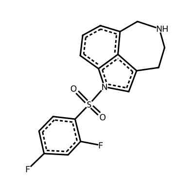 O=S(=O)(c1ccc(F)cc1F)n1cc2c3c(cccc31)CNCC2